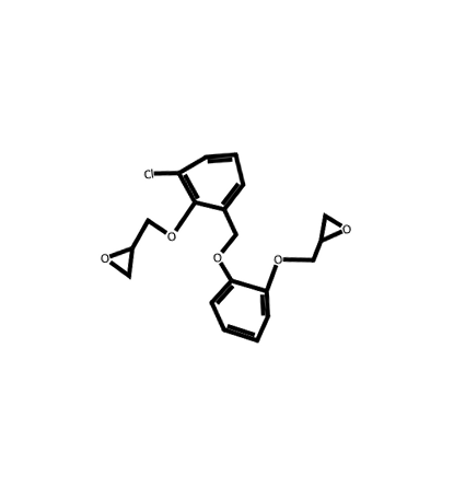 Clc1cccc(COc2ccccc2OCC2CO2)c1OCC1CO1